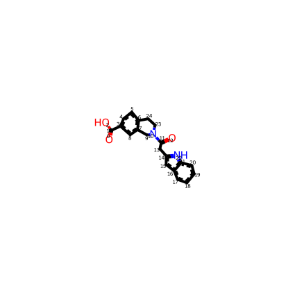 O=C(O)c1ccc2c(c1)CN(C(=O)Cc1cc3ccccc3[nH]1)CC2